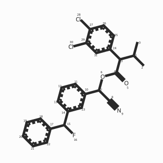 CC(C)C(C(=O)OC(C#N)c1cccc(C(F)c2ccccc2)c1)c1ccc(Cl)c(Cl)c1